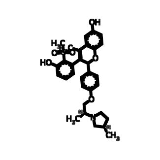 CC1=C(c2cccc(O)c2S(C)(=O)=O)C(c2ccc(OC[C@H](C)N3CC[C@@H](C)C3)cc2)Oc2ccc(O)cc21